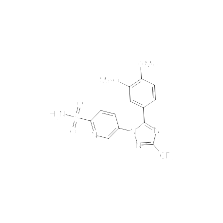 COc1ccc(-c2nc(C(F)(F)F)nn2-c2ccc(S(N)(=O)=O)nc2)cc1OC